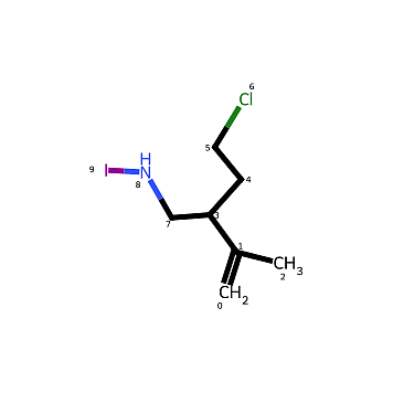 C=C(C)C(CCCl)CNI